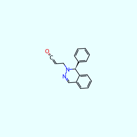 O=C=CCN1N=Cc2ccccc2[C@@H]1c1ccccc1